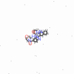 O=C(c1ccc2nc(-c3cc4ccccc4nc3N3CCOCC3)[nH]c2c1)N1CCOCC1